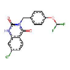 O=c1[nH]c2cc(Cl)ccc2c(=O)n1Cc1ccc(OC(F)F)cc1